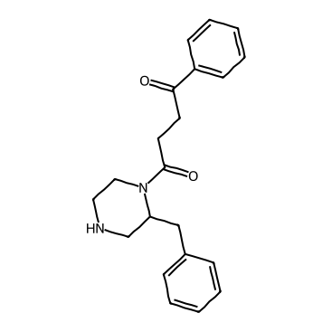 O=C(CCC(=O)N1CCNCC1Cc1ccccc1)c1ccccc1